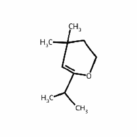 CC(C)C1=CC(C)(C)CCO1